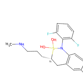 CNCCC[C@H]1Cc2cc(F)ccc2N(c2c(F)cccc2F)S1(O)O